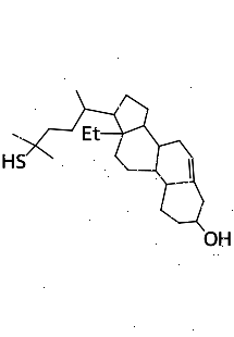 CCC12CCC3C4CCC(O)CC4=CCC3C1CCC2C(C)CCC(C)(C)S